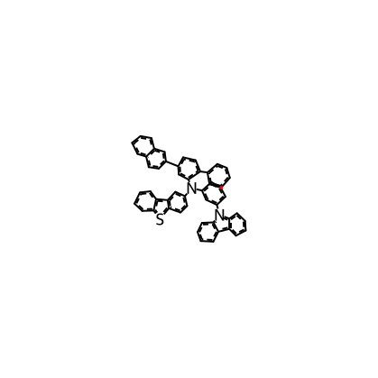 c1ccc(-c2ccc(-c3ccc4ccccc4c3)cc2N(c2cccc(-n3c4ccccc4c4ccccc43)c2)c2ccc3sc4ccccc4c3c2)cc1